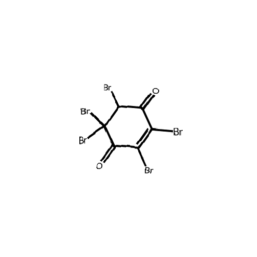 O=C1C(Br)=C(Br)C(=O)C(Br)(Br)C1Br